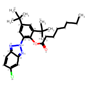 CCCCCCCC(=O)Oc1c(-n2nc3ccc(Cl)cc3n2)cc(C(C)(C)C)cc1C(C)(C)C